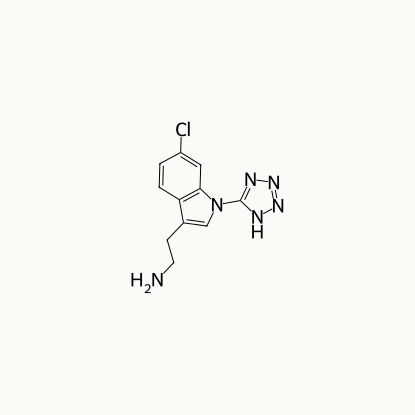 NCCc1cn(-c2nnn[nH]2)c2cc(Cl)ccc12